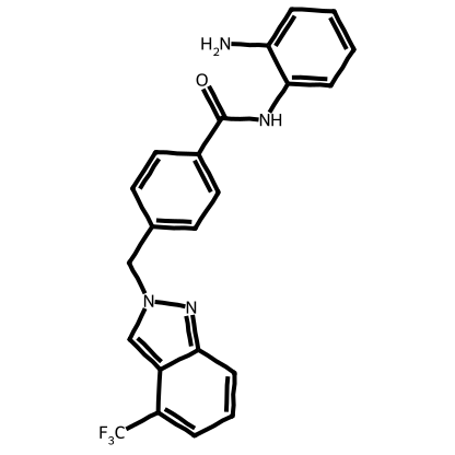 Nc1ccccc1NC(=O)c1ccc(Cn2cc3c(C(F)(F)F)cccc3n2)cc1